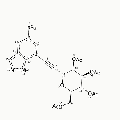 CCCCc1cc(C#C[C@H]2O[C@H](COC(C)=O)[C@@H](OC(C)=O)[C@H](OC(C)=O)[C@@H]2OC(C)=O)c2[nH]ncc2c1